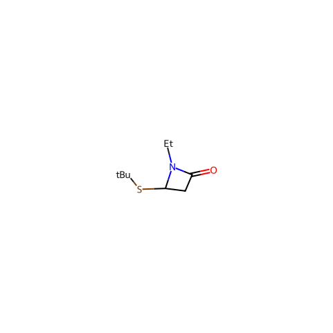 CCN1C(=O)CC1SC(C)(C)C